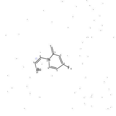 C=C1C=C(F)C=CN1/C=C\C(C)CC